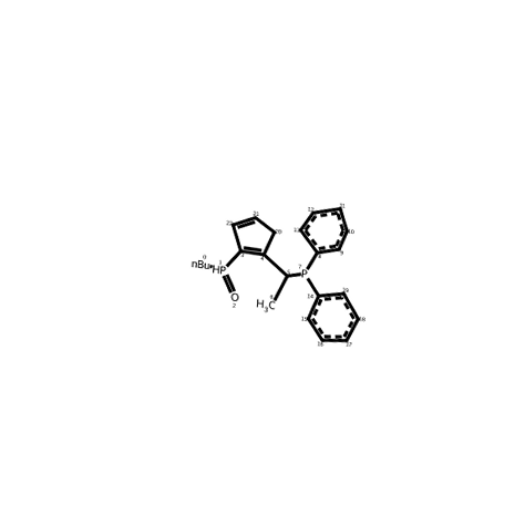 CCCC[PH](=O)C1=C(C(C)P(c2ccccc2)c2ccccc2)CC=C1